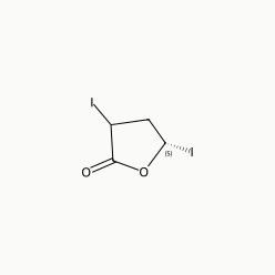 O=C1O[C@@H](I)CC1I